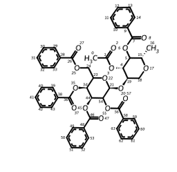 CC(=O)O[C@@H]1C(OC(=O)c2ccccc2)[C@H](C)OC[C@H]1O[C@@H]1OC(COC(=O)c2ccccc2)[C@H](OC(=O)c2ccccc2)[C@H](OC(=O)c2ccccc2)C1OC(=O)c1ccccc1